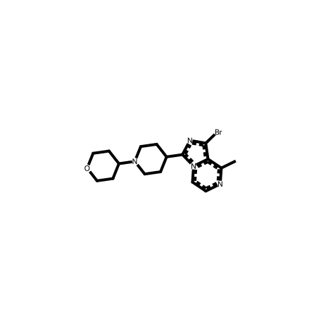 Cc1nccn2c(C3CCN(C4CCOCC4)CC3)nc(Br)c12